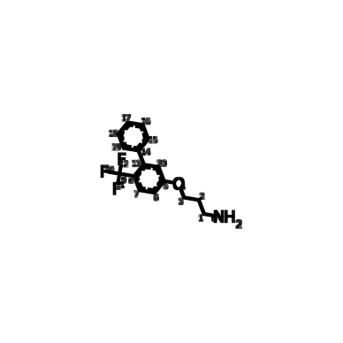 NCCCOc1ccc(C(F)(F)F)c(-c2ccccc2)c1